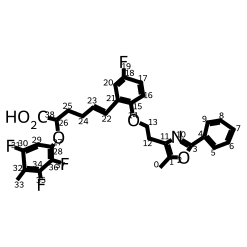 Cc1oc(-c2ccccc2)nc1CCOc1ccc(F)cc1C=CCCC(Oc1cc(F)c(C)c(F)c1F)C(=O)O